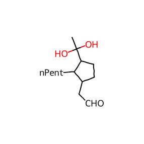 CCCCCC1C(CC=O)CCC1C(C)(O)O